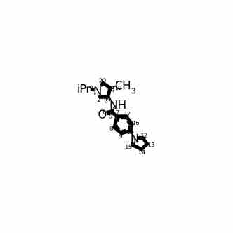 CC(C)N1C[C@H](NC(=O)c2ccc(N3CCCC3)cc2)[C@@H](C)C1